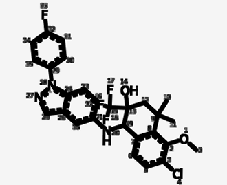 COc1c(Cl)ccc2c1C(C)(C)CC(O)(C(F)(F)F)C2Nc1ccc2c(cnn2-c2ccc(F)cc2)c1